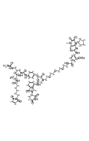 CC[C@@H]1C(=O)N(C)c2cnc(Nc3ccc(C(=O)NCCOCCOCCOCCN(CC(=O)Nc4cccc5c4CN(C4CCC(=O)NC4=O)C5=O)C(=O)OCc4ccc(NC(=O)[C@H](CCCNC(N)=O)NC(=O)[C@@H](NC(=O)CCCCCN5C(=O)C=CC5=O)C(C)C)cc4)cc3OC)nc2N1C1CCCC1